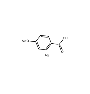 COc1ccc(S(=O)O)cc1.[Ag]